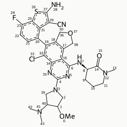 COC1CN(c2nc(N[C@@H]3CCCN(C)C3=O)c3c4c(c(-c5ccc(F)c6sc(N)c(C#N)c56)c(Cl)c3n2)COC4)CC1N(C)C